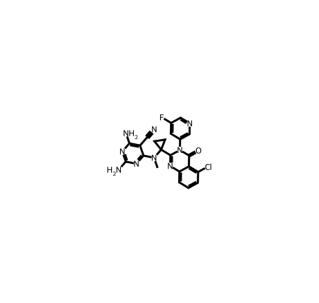 CN(c1nc(N)nc(N)c1C#N)C1(c2nc3cccc(Cl)c3c(=O)n2-c2cncc(F)c2)CC1